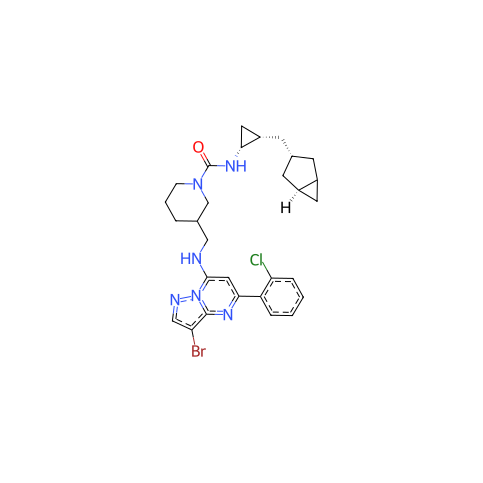 O=C(N[C@@H]1C[C@@H]1C[C@@H]1CC2C[C@H]2C1)N1CCCC(CNc2cc(-c3ccccc3Cl)nc3c(Br)cnn23)C1